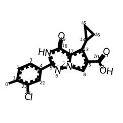 Cc1ccc(-c2nn3cc(C(=O)O)c(C4CC4)c3c(=O)[nH]2)cc1Cl